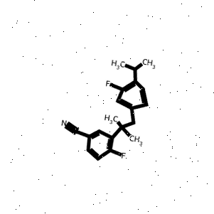 CC(C)c1ccc(CC(C)(C)c2cc(C#N)ccc2F)cc1F